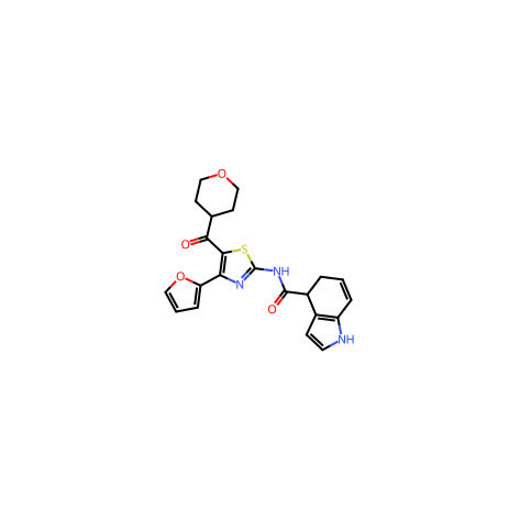 O=C(c1sc(NC(=O)C2CC=Cc3[nH]ccc32)nc1-c1ccco1)C1CCOCC1